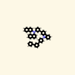 c1ccc(-c2cccc(-c3ccc(-n4c5ccccc5c5ccc(-c6cccc(N(c7ccc8ccccc8c7)c7cccc8ccccc78)c6)cc54)cc3)c2)cc1